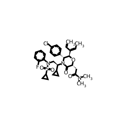 C=C/C(=C\C)[C@H]1O[C@H](CC(=O)N(C)C)C(=O)N([C@H](CN(c2ccccc2F)S(=O)(=O)C2CC2)C2CC2)[C@@H]1c1ccc(Cl)cc1